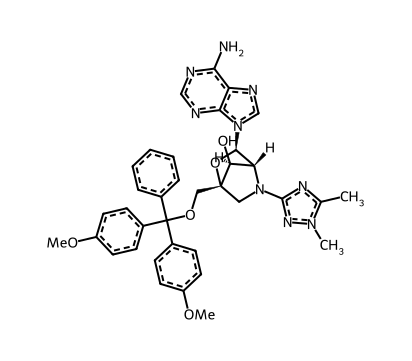 COc1ccc(C(OC[C@@]23CN(c4nc(C)n(C)n4)[C@@H]([C@H](n4cnc5c(N)ncnc54)O2)[C@@H]3O)(c2ccccc2)c2ccc(OC)cc2)cc1